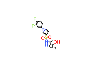 O=S(=O)(N[C@@H](CO)C(F)(F)F)c1ccn(-c2ccc(F)c(F)c2)c1